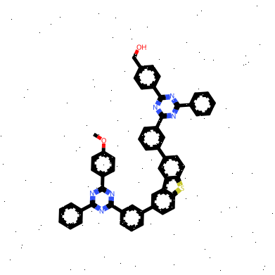 COc1ccc(-c2nc(-c3ccccc3)nc(-c3cccc(-c4ccc5sc6ccc(-c7cccc(-c8nc(-c9ccccc9)nc(-c9ccc(CO)cc9)n8)c7)cc6c5c4)c3)n2)cc1